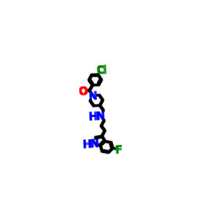 O=C(c1ccc(Cl)cc1)N1CCC(CNCCCc2c[nH]c3ccc(F)cc23)CC1